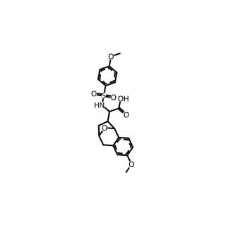 COc1ccc(S(=O)(=O)NC(C(=O)O)C2CC3Cc4cc(OC)ccc4C2O3)cc1